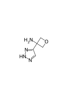 NC1(c2cn[nH]n2)COC1